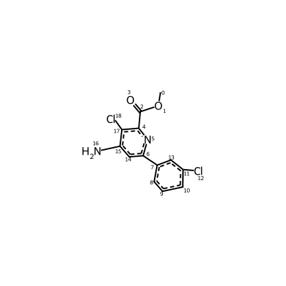 COC(=O)c1nc(-c2cccc(Cl)c2)cc(N)c1Cl